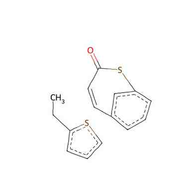 CCc1cccs1.O=C1C=Cc2cccc(c2)S1